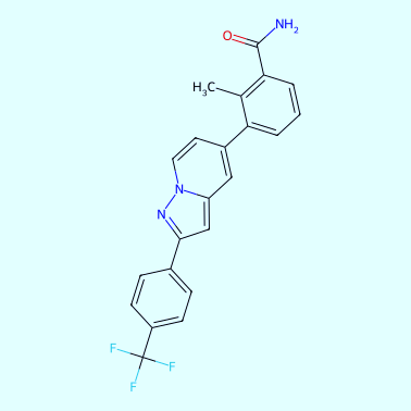 Cc1c(C(N)=O)cccc1-c1ccn2nc(-c3ccc(C(F)(F)F)cc3)cc2c1